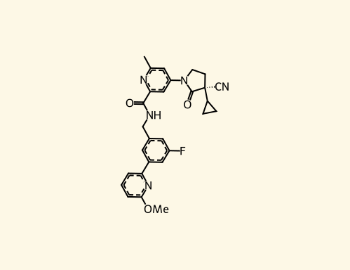 COc1cccc(-c2cc(F)cc(CNC(=O)c3cc(N4CC[C@@](C#N)(C5CC5)C4=O)cc(C)n3)c2)n1